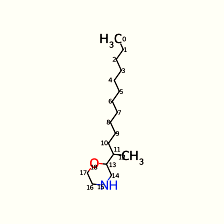 CCCCCCCCCCCC(C)C1CNCCO1